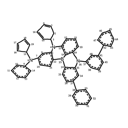 C1=CCC(N2c3cc(N(c4ccccc4)C4C=CC=C4)ccc3B3c4ccc(-c5ccccc5)cc4N(c4cccc(-c5ccccc5)c4)c4cccc2c43)C=C1